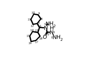 NNC(=O)N(N)C(C1CCCCC1)C1CCCCC1